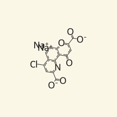 O=C([O-])c1cc(Cl)c2ccc3oc(C(=O)[O-])cc(=O)c3c2n1.[Na+].[Na+]